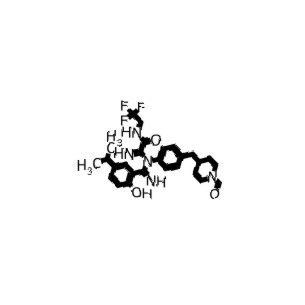 CC(C)c1ccc(O)c(C(=N)N(C(=N)C(=O)NCC(F)(F)F)c2ccc(CC3CCN(C=O)CC3)cc2)c1